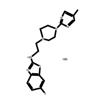 Br.Cc1cnc(N2CCN(CCNc3nc4ccc(F)cc4s3)CC2)nc1